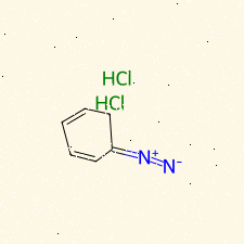 Cl.Cl.[N-]=[N+]=C1C=CC=CC1